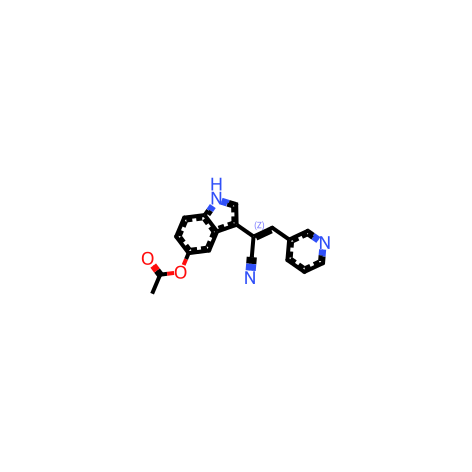 CC(=O)Oc1ccc2[nH]cc(/C(C#N)=C/c3cccnc3)c2c1